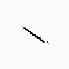 CC=CC(F)C(F)C(F)CCCCCCCCCCCCF